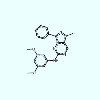 COc1cc(Nc2ncc3c(C)nc(-c4ccccc4)n3n2)cc(OC)c1